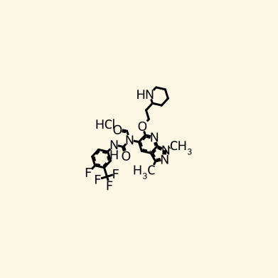 Cc1nn(C)c2nc(OCCC3CCCCN3)c(N(C=O)C(=O)Nc3ccc(F)c(C(F)(F)F)c3)cc12.Cl